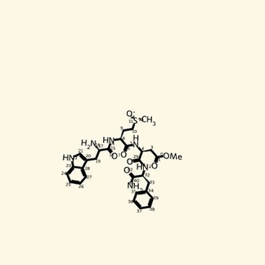 COC(=O)C[C@H](NC(=O)[C@H](CC[S+](C)[O-])NC(=O)[C@H](N)Cc1c[nH]c2ccccc12)C(=O)N[C@@H](Cc1ccccc1)C(N)=O